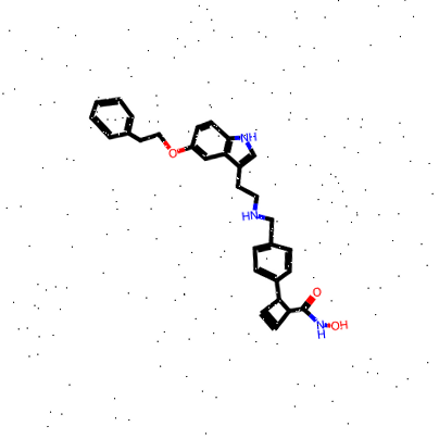 O=C(NO)C1C#CC1c1ccc(CNCCc2c[nH]c3ccc(OCCc4ccccc4)cc23)cc1